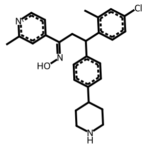 Cc1cc(C(CC(c2ccc(C3CCNCC3)cc2)c2ccc(Cl)cc2C)=NO)ccn1